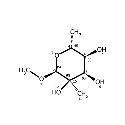 CO[C@H]1O[C@H](C)[C@@H](O)[C@@H](O)[C@@]1(C)O